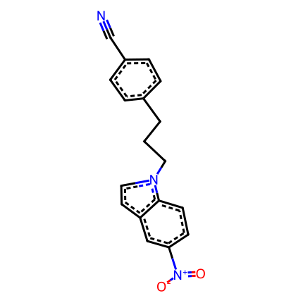 N#Cc1ccc(CCCn2ccc3cc([N+](=O)[O-])ccc32)cc1